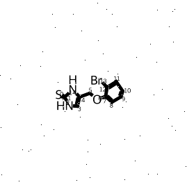 S=c1[nH]cc(COc2ccccc2Br)[nH]1